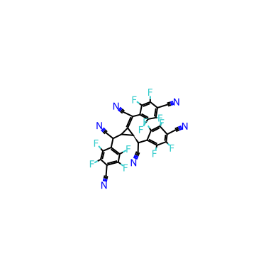 N#C/C(=C1\C(C(C#N)c2c(F)c(F)c(C#N)c(F)c2F)[C@@H]1C(C#N)c1c(F)c(F)c(C#N)c(F)c1F)c1c(F)c(F)c(C#N)c(F)c1F